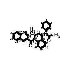 CC(=O)N(c1ccccc1)[C@H]1C[C@@H](C)N(C(=O)c2cnc3ccccc3c2)c2ccccc21